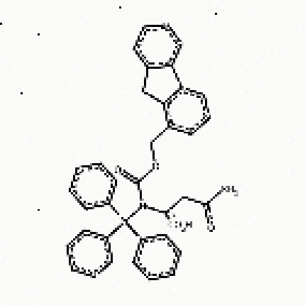 NC(=O)C[C@@H](C(=O)O)N(C(=O)OCc1cccc2c1Cc1ccccc1-2)C(c1ccccc1)(c1ccccc1)c1ccccc1